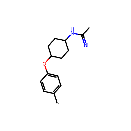 [CH2]c1ccc(OC2CCC(NC(C)=N)CC2)cc1